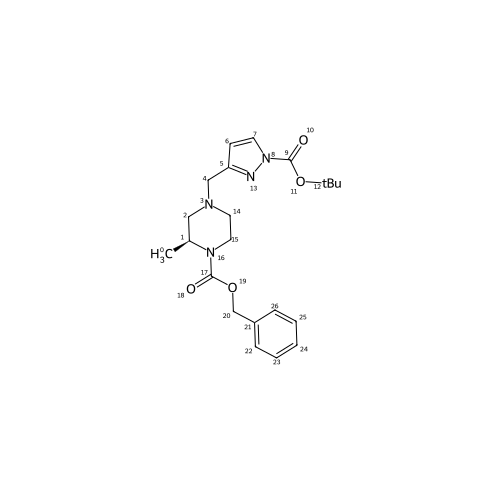 C[C@H]1CN(Cc2ccn(C(=O)OC(C)(C)C)n2)CCN1C(=O)OCc1ccccc1